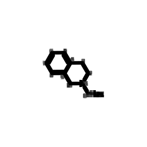 CCCCCCN1CCc2ccccc2C1